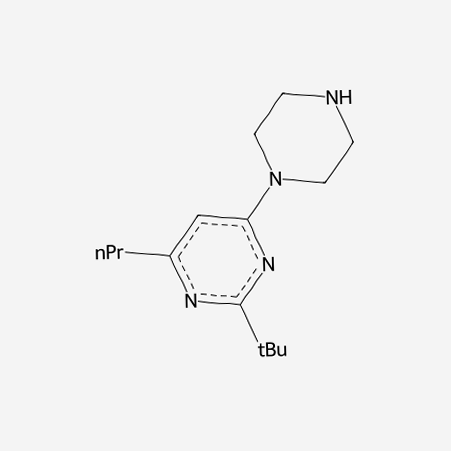 CCCc1cc(N2CCNCC2)nc(C(C)(C)C)n1